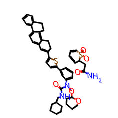 NC(=O)CC1C=CC=CS1(=O)=O.O=C(NCC1CCCCC1)N(OC1CCCCO1)c1cccc(-c2ccc(C3=Cc4ccc5c(c4CC3)CCc3ccccc3-5)s2)c1